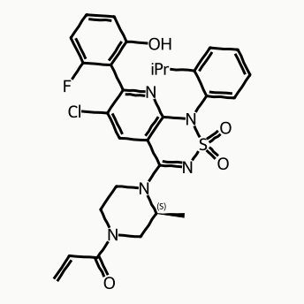 C=CC(=O)N1CCN(C2=NS(=O)(=O)N(c3ccccc3C(C)C)c3nc(-c4c(O)cccc4F)c(Cl)cc32)[C@@H](C)C1